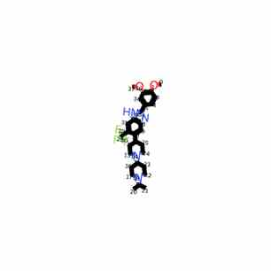 COc1ccc(-c2nc3cc(C4CCN(C5CCN(C(C)C)CC5)CC4)c(C(F)(F)F)cc3[nH]2)cc1OC